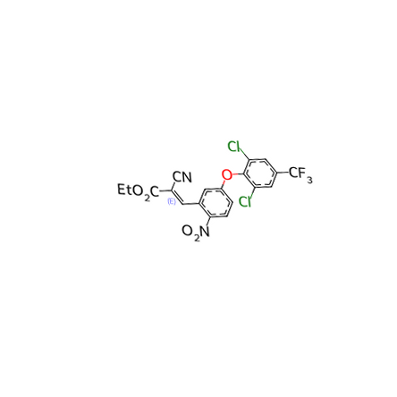 CCOC(=O)/C(C#N)=C/c1cc(Oc2c(Cl)cc(C(F)(F)F)cc2Cl)ccc1[N+](=O)[O-]